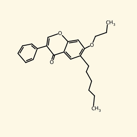 CCCCCCc1cc2c(=O)c(-c3ccccc3)coc2cc1OCCC